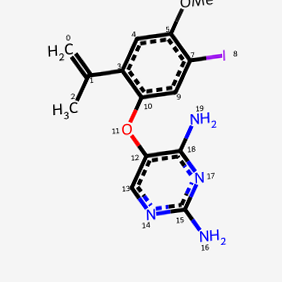 C=C(C)c1cc(OC)c(I)cc1Oc1cnc(N)nc1N